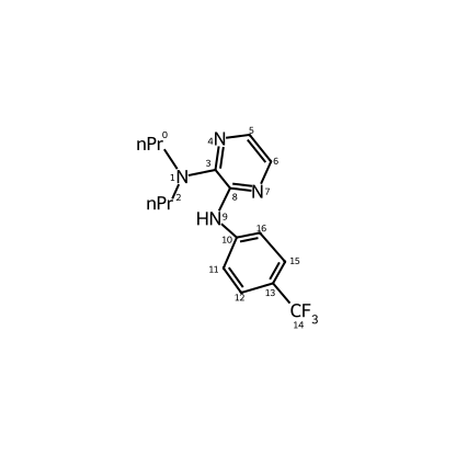 CCCN(CCC)c1nccnc1Nc1ccc(C(F)(F)F)cc1